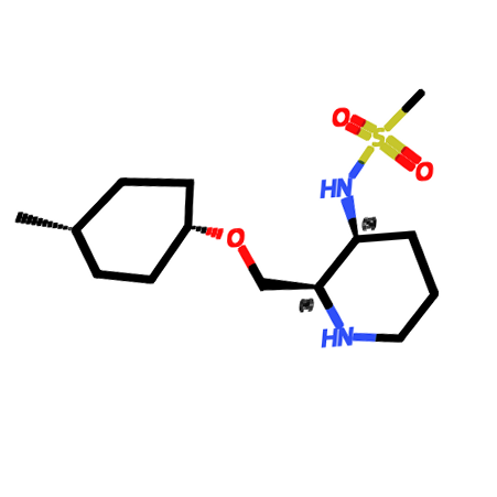 CS(=O)(=O)N[C@H]1CCCN[C@H]1CO[C@H]1CC[C@@H](C)CC1